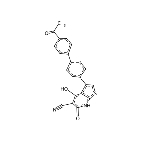 CC(=O)c1ccc(-c2ccc(-c3csc4[nH]c(=O)c(C#N)c(O)c34)cc2)cc1